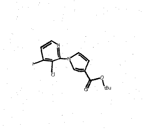 CC(C)(C)OC(=O)c1ccn(-c2nccc(I)c2Cl)c1